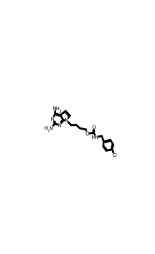 Nc1nc(N)c2ccn(CCCCOC(=O)NCc3ccc(Cl)cc3)c2n1